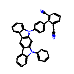 N#Cc1cccc(C#N)c1-c1ccc(-n2c3ccccc3c3cc4c5ccccc5n(-c5ccccc5)c4cc32)cc1